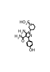 NC(=O)c1c(-c2ccc(O)cc2)nn(C2CCCN(C(=O)O)C2)c1N